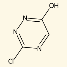 Oc1cnc(Cl)nn1